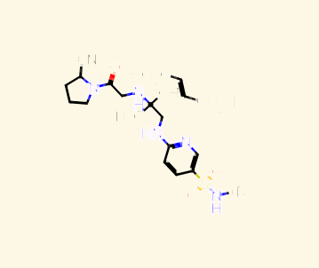 CC(C)(C)NS(=O)(=O)c1ccc(NCC(C)(C)NCC(=O)N2CCCC2C#N)nc1.O=C(O)/C=C/C(=O)O